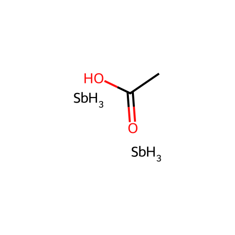 CC(=O)O.[SbH3].[SbH3]